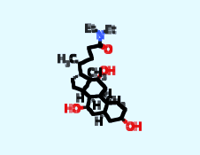 CCN(CC)C(=O)CC[C@@H](C)[C@H]1CC[C@H]2[C@@H]3[C@H](O)C[C@@H]4C[C@H](O)CC[C@]4(C)[C@H]3C[C@H](O)[C@]12C